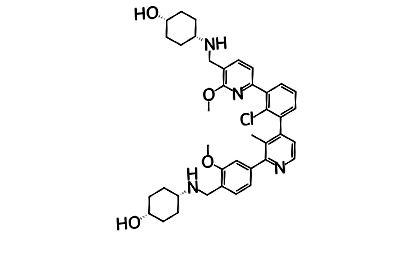 COc1cc(-c2nccc(-c3cccc(-c4ccc(CN[C@H]5CC[C@@H](O)CC5)c(OC)n4)c3Cl)c2C)ccc1CN[C@H]1CC[C@@H](O)CC1